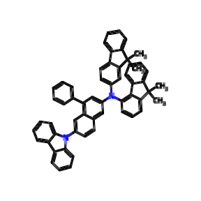 CC1(C)c2ccccc2-c2ccc(N(c3cc(-c4ccccc4)c4cc(-n5c6ccccc6c6ccccc65)ccc4c3)c3cccc4c3-c3ccccc3C4(C)C)cc21